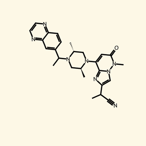 CC(C#N)c1cn2c(n1)c(N1C[C@@H](C)N(C(C)c3ccc4nccnc4c3)C[C@@H]1C)cc(=O)n2C